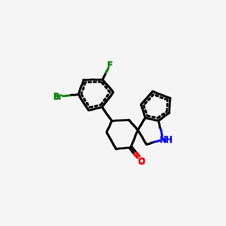 O=C1CCC(c2cc(F)cc(Br)c2)CC12CNc1ccccc12